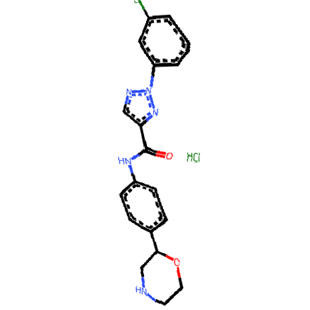 Cl.O=C(Nc1ccc(C2CNCCO2)cc1)c1cnn(-c2cccc(Cl)c2)n1